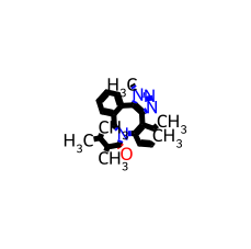 C/C=C\C1=C(/CC)c2nnn(C)c2-c2ccccc2CN1C(=O)C(C)C(C)C